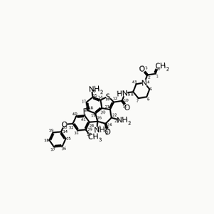 C=CC(=O)N1CCCC(NC(=O)c2sc3c(N)ccc4c3c2C(N)C(=O)C4(N)c2c(C)cc(Oc3ccccc3)cc2F)C1